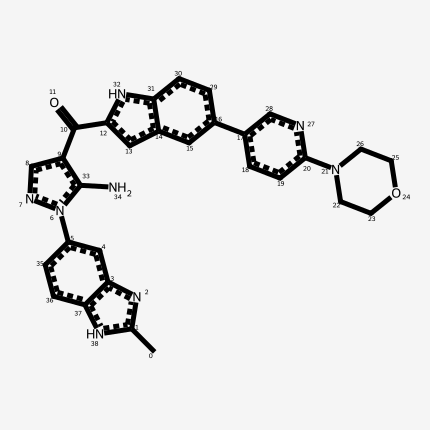 Cc1nc2cc(-n3ncc(C(=O)c4cc5cc(-c6ccc(N7CCOCC7)nc6)ccc5[nH]4)c3N)ccc2[nH]1